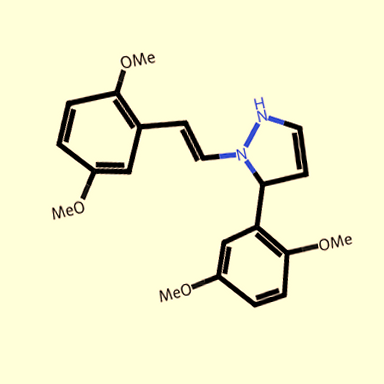 COc1ccc(OC)c(C=CN2NC=CC2c2cc(OC)ccc2OC)c1